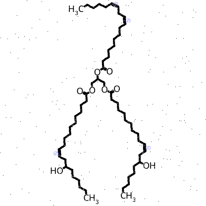 CCCCC/C=C\C/C=C\CCCCCCCC(=O)OC(COC(=O)CCCCCCCCC/C=C\CC(O)CCCCCC)COC(=O)CCCCCCCCC/C=C\CC(O)CCCCCC